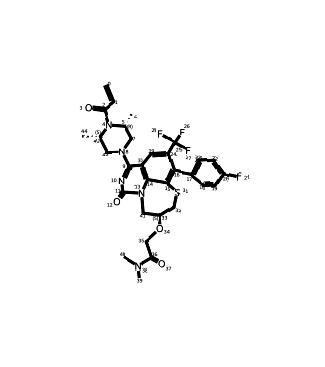 C=CC(=O)N1[C@H](C)CN(c2nc(=O)n3c4c(c(-c5ccc(F)cc5)c(C(F)(F)F)cc24)SC[C@@H](OCC(=O)N(C)C)C3)C[C@@H]1C